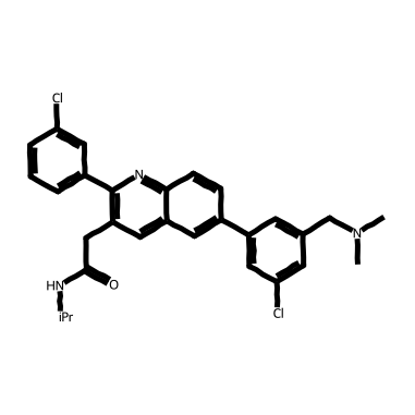 CC(C)NC(=O)Cc1cc2cc(-c3cc(Cl)cc(CN(C)C)c3)ccc2nc1-c1cccc(Cl)c1